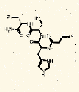 CC(C)CCC(=O)N[C@@H](CC1=CNCN1)C(=O)N[C@@H](CC(C)C)C(=O)N[C@@H](CC(C)C)C(N)=O